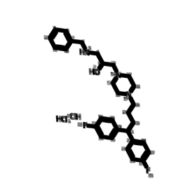 Cl.Cl.OC(CNCc1ccccc1)CN1CCN(CCCC(c2ccc(F)cc2)c2ccc(F)cc2)CC1